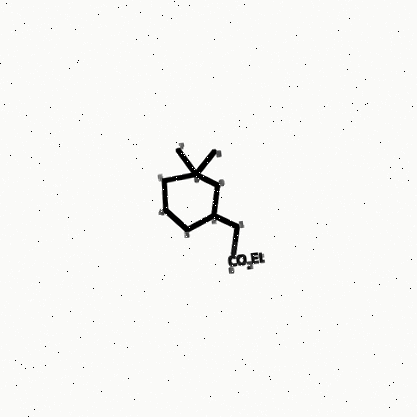 CCOC(=O)CC1CCCC(C)(C)C1